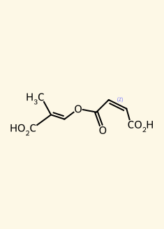 CC(=COC(=O)/C=C\C(=O)O)C(=O)O